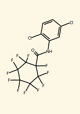 O=C(Nc1cc(Cl)ccc1Cl)C1(F)C(F)(F)C(F)(F)C(F)(F)C(F)(F)C1(F)F